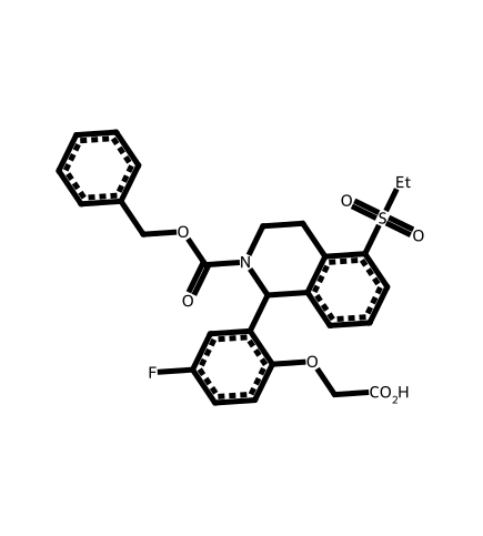 CCS(=O)(=O)c1cccc2c1CCN(C(=O)OCc1ccccc1)C2c1cc(F)ccc1OCC(=O)O